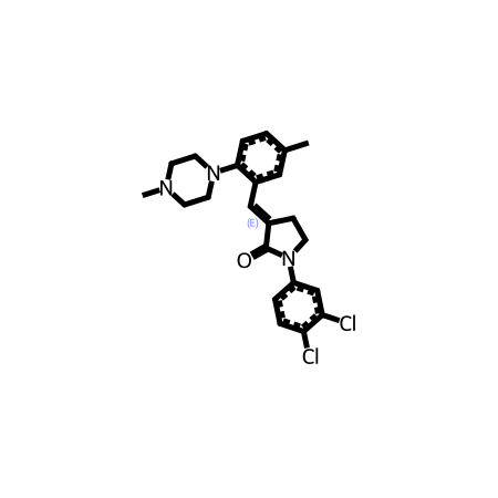 Cc1ccc(N2CCN(C)CC2)c(/C=C2\CCN(c3ccc(Cl)c(Cl)c3)C2=O)c1